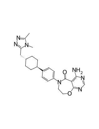 Cc1nnc(C[C@H]2CC[C@H](c3ccc(N4CCOc5ncnc(N)c5C4=O)cc3)CC2)n1C